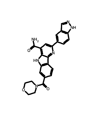 NC(=O)c1cc(-c2ccc3[nH]ncc3c2)nc2c1[nH]c1cc(C(=O)N3CCOCC3)ccc12